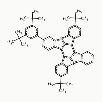 CC(C)(C)c1cc(-c2ccc3c4c5c6ccc(C(C)(C)C)cc6n6c7ccccc7c(c7c8ccc(C(C)(C)C)cc8n(c3c2)c47)c56)cc(C(C)(C)C)c1